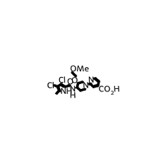 COCCO[C@H]1CN(c2cc(C(=O)O)ccn2)CC[C@H]1NC(=O)c1[nH]c(C)c(Cl)c1Cl